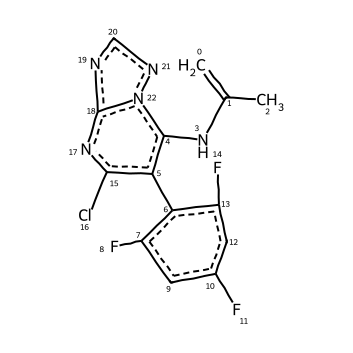 C=C(C)Nc1c(-c2c(F)cc(F)cc2F)c(Cl)nc2ncnn12